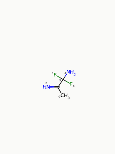 CC(=N)C(N)(F)F